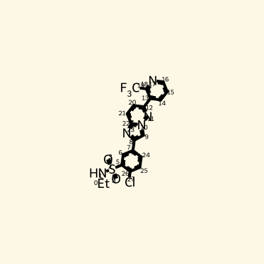 CCNS(=O)(=O)c1cc(-c2cn3nc(-c4cccnc4C(F)(F)F)ccc3n2)ccc1Cl